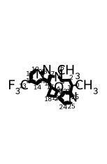 C[C@H](CC(=O)N(C)c1nn2ccc(C(F)(F)F)cc2c1C1CCC1)c1ccccn1